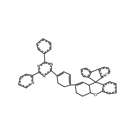 C1=C(C2=CC3C(CC2)Oc2ccccc2C32c3ccccc3-c3ccccc32)CCC(c2nc(-c3ccccc3)nc(-c3ccccn3)n2)=C1